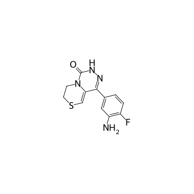 Nc1cc(C2=NNC(=O)N3CCSC=C23)ccc1F